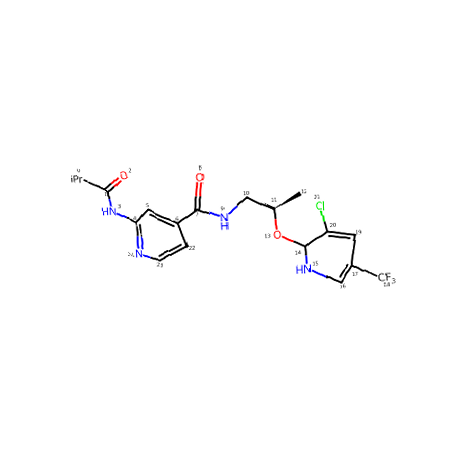 CC(C)C(=O)Nc1cc(C(=O)NC[C@@H](C)OC2NC=C(C(F)(F)F)C=C2Cl)ccn1